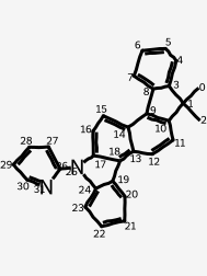 CC1(C)c2ccccc2-c2c1ccc1c2ccc2c1c1ccccc1n2-c1ccccn1